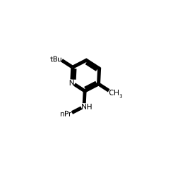 CCCNc1nc(C(C)(C)C)ccc1C